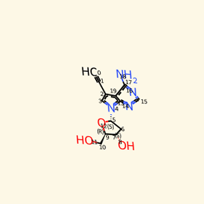 C#Cc1cn([C@@H]2C[C@H](O)[C@@H](CO)O2)c2ncnc(N)c12